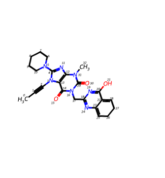 CC#Cn1c(N2CCCCC2)nc2c1c(=O)n(Cc1nc(O)c3c(n1)=CCCC=3)c(=O)n2C